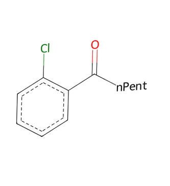 [CH2]CCCCC(=O)c1ccccc1Cl